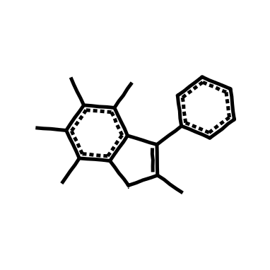 CC1=C(c2ccccc2)c2c(C)c(C)c(C)c(C)c2[CH]1